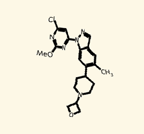 COc1nc(Cl)cc(-n2ncc3cc(C)c(C4CCN(C5COC5)CC4)cc32)n1